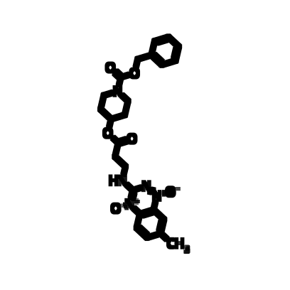 Cc1ccc2c(c1)[n+]([O-])nc(NCCC(=O)OC1CCN(C(=O)OCc3ccccc3)CC1)[n+]2[O-]